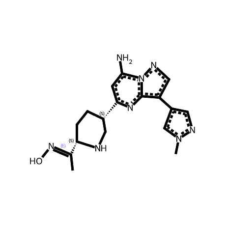 C/C(=N\O)[C@@H]1CC[C@H](c2cc(N)n3ncc(-c4cnn(C)c4)c3n2)CN1